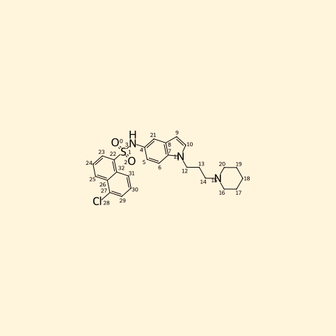 O=S(=O)(Nc1ccc2c(ccn2CCCN2CCCCC2)c1)c1cccc2c(Cl)cccc12